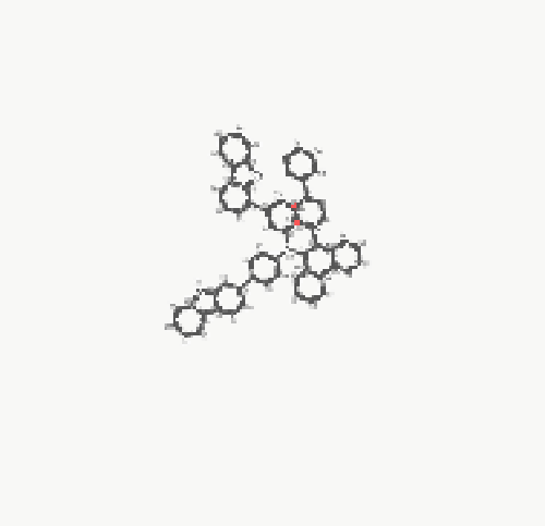 c1ccc(-c2ccc(-c3c(N(c4ccc(-c5ccc6c(c5)sc5ccccc56)cc4)c4cccc(-c5cccc6c5oc5ccccc56)c4)c4ccccc4c4ccccc34)cc2)cc1